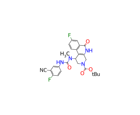 CN(C(=O)Nc1ccc(F)c(C#N)c1)C1CN(C(=O)OC(C)(C)C)Cc2[nH]c(=O)c3cc(F)ccc3c21